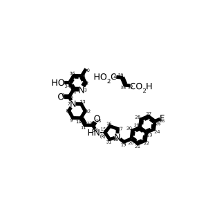 Cc1cnc(C(=O)N2CCC(=CC(=O)N[C@@H]3CCN(Cc4ccc5cc(F)ccc5c4)C3)CC2)c(O)c1.O=C(O)C=CC(=O)O